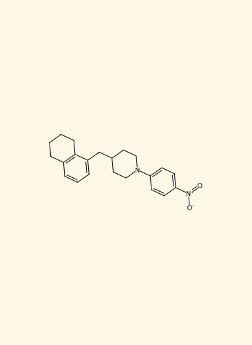 O=[N+]([O-])c1ccc(N2CCC(Cc3cccc4c3CCCC4)CC2)cc1